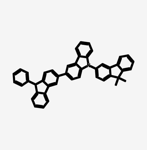 CC1(C)c2ccccc2-c2cc(-n3c4ccccc4c4cc(-c5ccc6c(c5)-c5ccccc5C6c5ccccc5)ccc43)ccc21